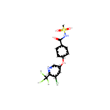 CS(=O)(=O)NC(=O)c1ccc(Oc2cnc(C(F)(F)F)c(Cl)c2)cc1